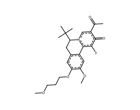 COCCCOc1cc2c(cc1OC)-c1c(F)c(=O)c(C(C)=O)cn1C(C(C)(C)C)C2